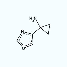 NC1(c2cocn2)CC1